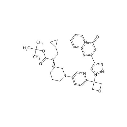 CC(C)(C)OC(=O)N(CC1CC1)[C@@H]1CCCN(c2ccc(C3(n4cc(-c5cc(=O)n6ccccc6n5)nn4)COC3)nc2)C1